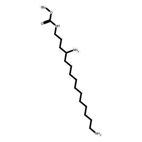 CC(C)(C)OC(=O)NCCCC(N)CCCCCCCCCCCN